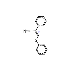 N#C/C(=C\Sc1ccccc1)c1ccccc1